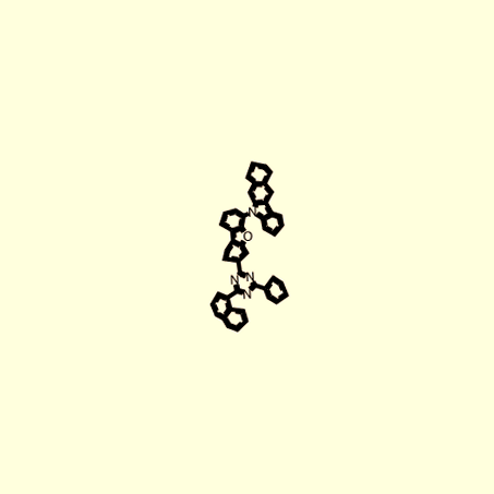 c1ccc(-c2nc(-c3ccc4c(c3)oc3c(-n5c6ccccc6c6cc7ccccc7cc65)cccc34)nc(-c3cccc4ccccc34)n2)cc1